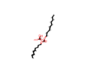 CCCCCCCCCOC(=O)OCCCCCCCCC.O=C(O)O